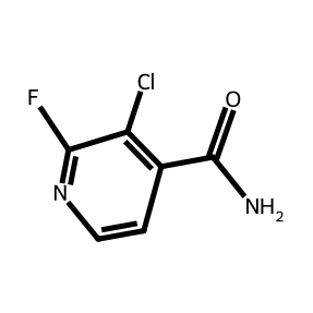 NC(=O)c1ccnc(F)c1Cl